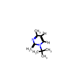 [2H]C1=C([2H])N(C(C)(C)C)C(=C)N=C1C